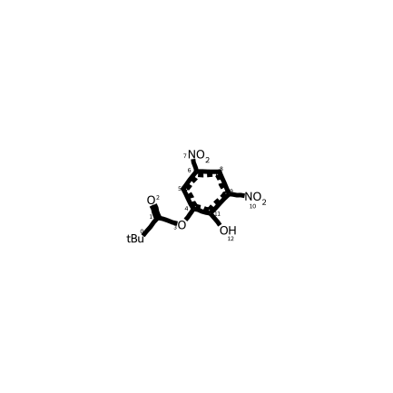 CC(C)(C)C(=O)Oc1cc([N+](=O)[O-])cc([N+](=O)[O-])c1O